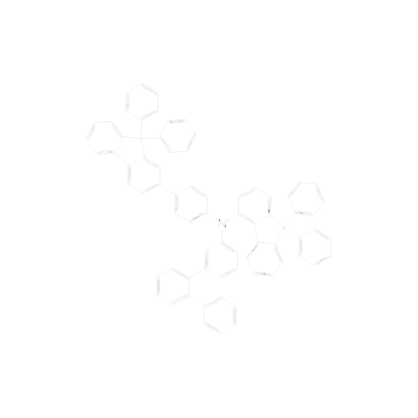 c1ccc(-c2ccccc2-c2cccc(N(c3ccc(-c4ccc5c(c4)C(c4ccccc4)(c4ccccc4)c4ccccc4-5)cc3)c3cccc4c3-c3ccccc3C4(c3ccccc3)c3ccccc3)c2)cc1